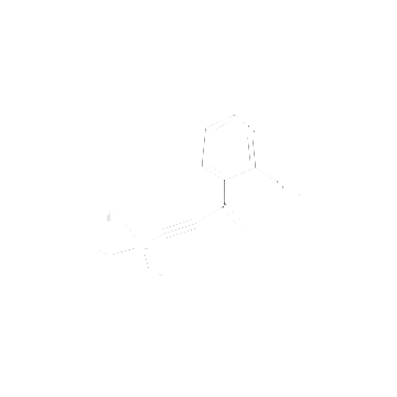 CC(C)[Si](C#CC(=O)c1cccnc1N)(C(C)C)C(C)C